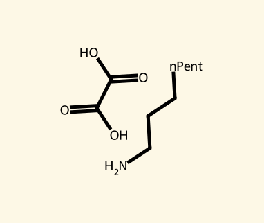 CCCCCCCCN.O=C(O)C(=O)O